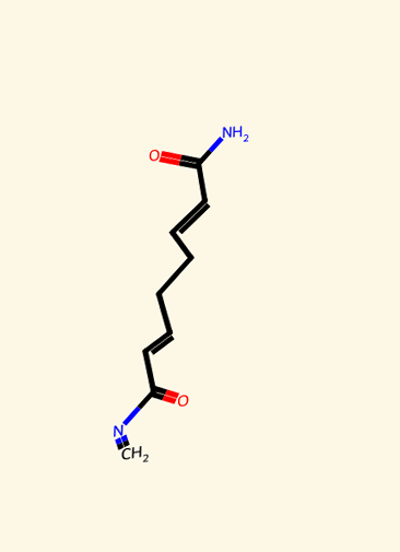 C=NC(=O)C=CCCC=CC(N)=O